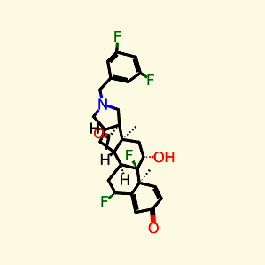 CC(=O)[C@@]12CN(Cc3cc(F)cc(F)c3)C[C@@H]1C[C@H]1[C@@H]3C[C@H](F)C4=CC(=O)C=C[C@]4(C)[C@@]3(F)[C@@H](O)C[C@@]12C